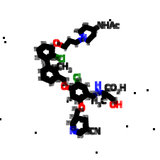 CC(=O)NC1CCN(CCCOc2cccc(-c3cccc(COc4cc(OCc5cncc(C#N)c5)c(CN[C@](C)(CO)C(=O)O)cc4Cl)c3C)c2Cl)CC1